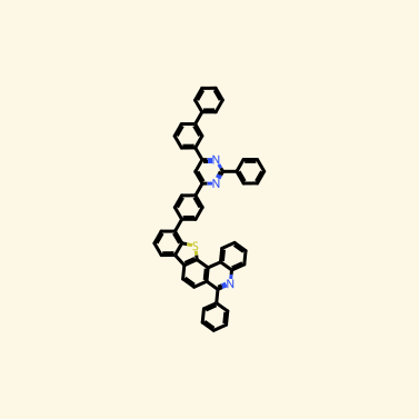 c1ccc(-c2cccc(-c3cc(-c4ccc(-c5cccc6c5sc5c6ccc6c(-c7ccccc7)nc7ccccc7c65)cc4)nc(-c4ccccc4)n3)c2)cc1